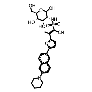 C/C(=C(/C#N)S(=O)(=O)N[C@H]1C(O)O[C@H](CO)[C@@H](O)[C@@H]1O)c1ccc(-c2ccc3cc(N4CCCCC4)ccc3c2)o1